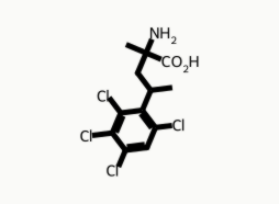 CC(CC(C)(N)C(=O)O)c1c(Cl)cc(Cl)c(Cl)c1Cl